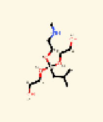 CNCCO[Si](CC(C)C)(OCCO)OCCO